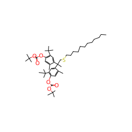 CCCCCCCCCCCCSCC(C)(c1cc(C(C)(C)C)c(OC(=O)OC(C)(C)C)cc1C)c1cc(C(C)(C)C)c(OC(=O)OC(C)(C)C)cc1C